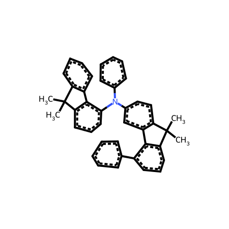 CC1(C)c2ccc(N(c3ccccc3)c3cccc4c3-c3ccccc3C4(C)C)cc2-c2c(-c3ccccc3)cccc21